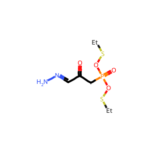 CCSOP(=O)([CH]C(=O)C=NN)OSCC